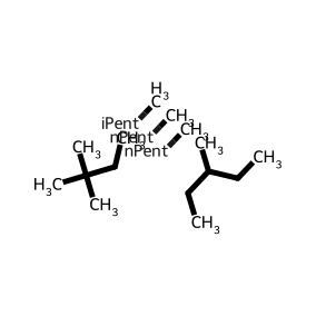 CCC(C)(C)C.CCC(C)CC.CCCC(C)C.CCCCCC.CCCCCC